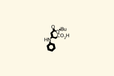 CCC(C)OC(=O)C=C(CC(=O)O)Nc1ccccc1